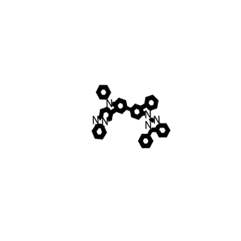 c1ccc(-c2nc(-n3c4ccccc4c4cc(-c5ccc6c(c5)c5cn7c(cc5n6-c5ccccc5)nc5ccccc57)ccc43)nc3ccccc23)cc1